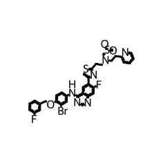 O=S(=O)=CN(CCc1ccccn1)CCc1nc(-c2cc3c(Nc4ccc(OCc5cccc(F)c5)c(Br)c4)ncnc3cc2F)cs1